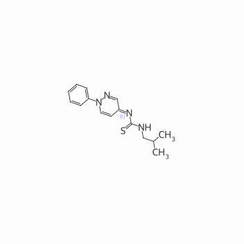 CC(C)CNC(=S)/N=c1\ccn(-c2ccccc2)nc1